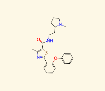 Cc1nc(-c2ccccc2Oc2ccccc2)sc1C(=O)NCCC1CCCN1C